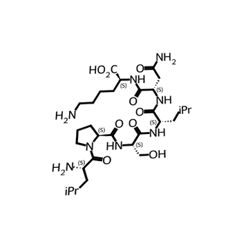 CC(C)C[C@H](NC(=O)[C@H](CO)NC(=O)[C@@H]1CCCN1C(=O)[C@@H](N)CC(C)C)C(=O)N[C@@H](CC(N)=O)C(=O)N[C@@H](CCCCN)C(=O)O